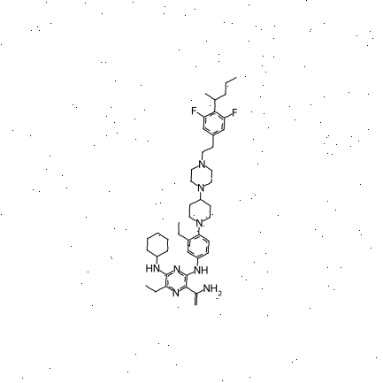 C=C(N)c1nc(CC)c(NC2CCCCC2)nc1Nc1ccc(N2CCC(N3CCN(CCc4cc(F)c(C(C)CCC)c(F)c4)CC3)CC2)c(CC)c1